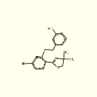 Cc1cccc(CCc2cc(C(C)C)ccc2C2=NC(C)(C)CO2)c1